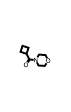 O=C(C1CCC1)N1CCOCC1